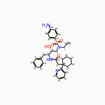 CC(C)CN(C[C@@H](O)[C@H](Cc1ccccc1)NC(=O)CC1(c2ccccn2)CCCCC1)S(=O)(=O)c1ccc(N)cc1